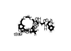 CN(C)C(=O)[C@@H](NC(=O)CNC(=O)C(=O)[C@@H]1CCCCCCCC2CCCC(C2)[C@H](NC(=O)OC(C)(C)C)C(=O)N2CC3C([C@H]2C(=O)N1)C3(C)C)c1ccccc1